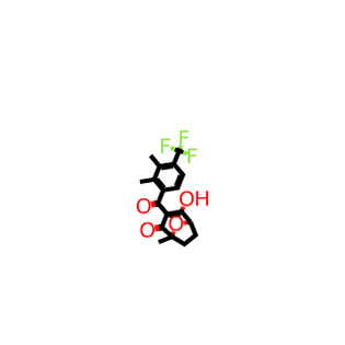 Cc1c(C(=O)C2=C(O)C3CCC(C)(O3)C2=O)ccc(C(F)(F)F)c1C